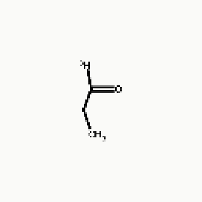 [3H]C(=O)CC